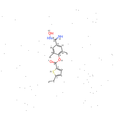 CCc1ccc(C(=O)Oc2c(C)cc(C(=N)NO)cc2C)s1